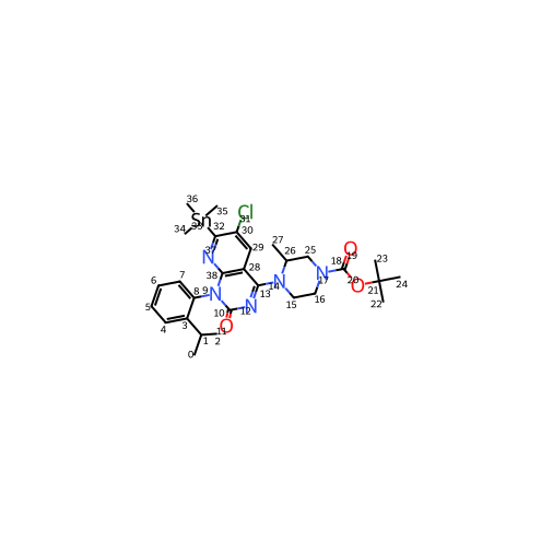 CC(C)c1ccccc1-n1c(=O)nc(N2CCN(C(=O)OC(C)(C)C)CC2C)c2cc(Cl)[c]([Sn]([CH3])([CH3])[CH3])nc21